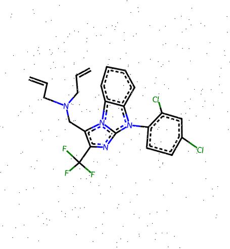 C=CCN(CC=C)Cc1c(C(F)(F)F)nc2n(-c3ccc(Cl)cc3Cl)c3ccccc3n12